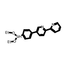 CCO[SiH](OCC)c1ccc(-c2ccc(-c3ccccn3)nc2)cc1